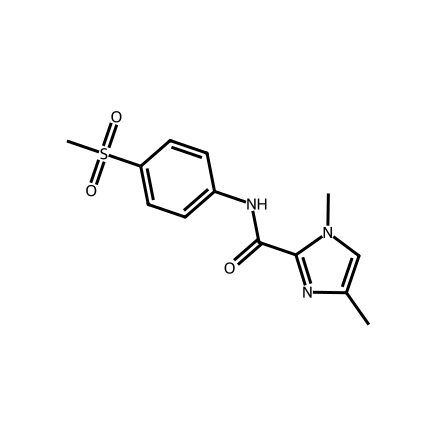 Cc1cn(C)c(C(=O)Nc2ccc(S(C)(=O)=O)cc2)n1